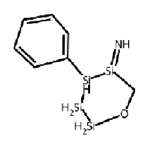 N=[Si]1CO[SiH2][SiH2][SiH]1c1ccccc1